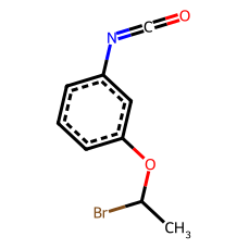 CC(Br)Oc1cccc(N=C=O)c1